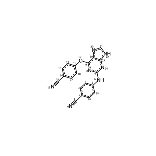 N#Cc1ccc(Nc2nc(Oc3ccc(C#N)cc3)c3nc[nH]c3n2)cc1